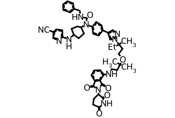 CCC(C)(CCOC(C)(C)CCNc1cccc2c1C(=O)N(C1CCC(=O)NC1=O)C2=O)n1cc(-c2ccc(N(C(=O)NCc3ccccc3)C3CCC(Nc4ccc(C#N)cn4)CC3)cc2)cn1